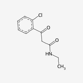 CCNC(=O)CC(=O)c1ccccc1Cl